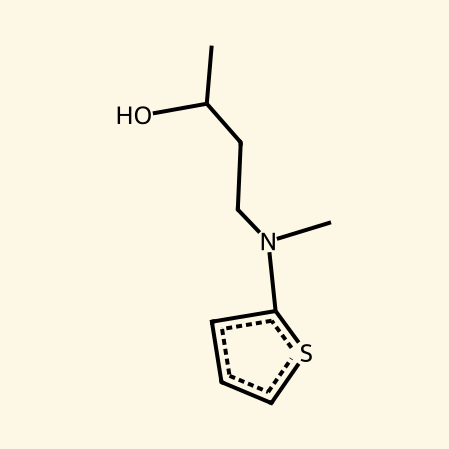 CC(O)CCN(C)c1cccs1